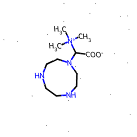 C[N+](C)(C)C(C(=O)[O-])N1CCNCCNCC1